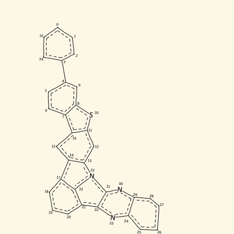 c1ccc(-c2ccc3c(c2)sc2cc4c(cc23)c2cccc3c5nc6ccccc6nc5n4c23)cc1